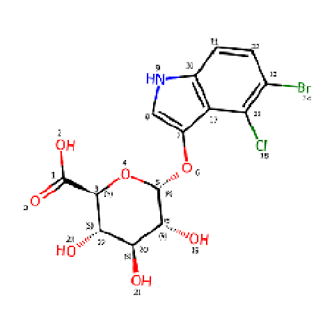 O=C(O)[C@H]1O[C@H](Oc2c[nH]c3ccc(Br)c(Cl)c23)[C@H](O)[C@@H](O)[C@@H]1O